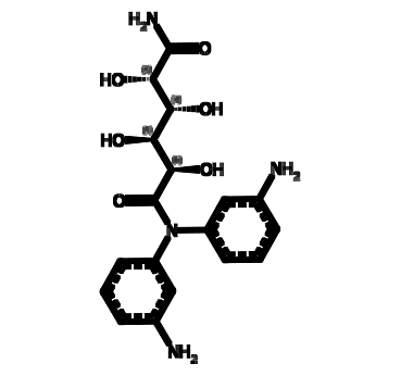 NC(=O)[C@@H](O)[C@H](O)[C@H](O)[C@@H](O)C(=O)N(c1cccc(N)c1)c1cccc(N)c1